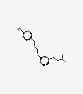 CC(C)CCc1cccc(CCCCc2ccc(O)cc2)c1